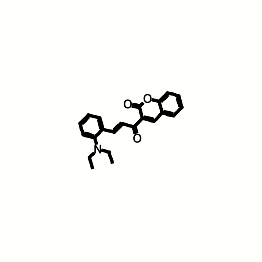 CCN(CC)c1ccccc1C=CC(=O)c1cc2ccccc2oc1=O